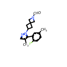 Cc1ccc(F)c(-c2c(C(F)(F)F)cnn2C2CC3(C2)CN(C=O)C3)c1